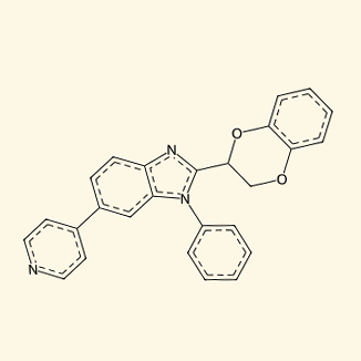 c1ccc(-n2c(C3COc4ccccc4O3)nc3ccc(-c4ccncc4)cc32)cc1